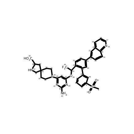 CS(=O)(=O)c1cccc(-c2cc(-c3ccc4ncccc4c3)ccc2C(Oc2cc(N3CCC4(CC3)CNC(C(=O)O)C4)nc(N)n2)C(F)(F)F)c1